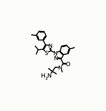 Cc1cccc(-c2nc(-n3nc(C(=O)N(C)CC(C)(C)N)c4cc(C)ccc43)sc2C(C)C)c1